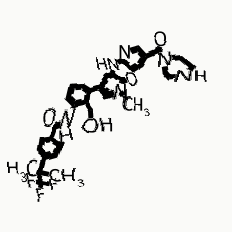 Cn1cc(-c2cccc(NC(=O)c3ccc(C(C)(C)C(F)(F)F)cc3)c2CO)cc(Nc2ccc(C(=O)N3CCNCC3)cn2)c1=O